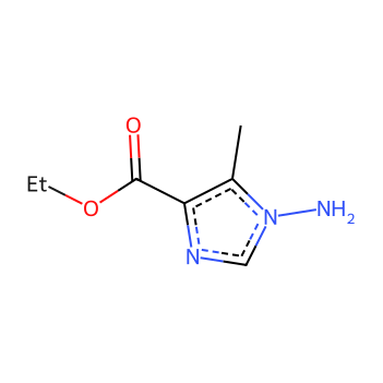 CCOC(=O)c1ncn(N)c1C